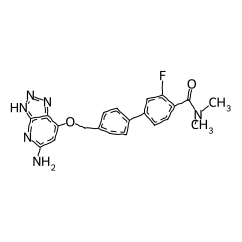 CN(C)C(=O)c1ccc(-c2ccc(COc3cc(N)nc4[nH]nnc34)cc2)cc1F